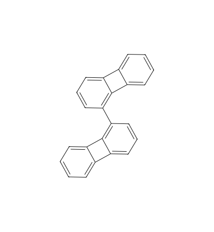 c1ccc2c(c1)-c1cccc(-c3cccc4c3-c3ccccc3-4)c1-2